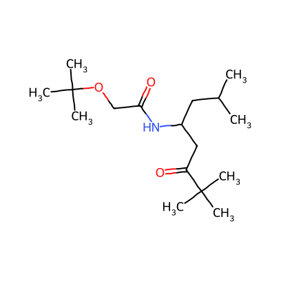 CC(C)CC(CC(=O)C(C)(C)C)NC(=O)COC(C)(C)C